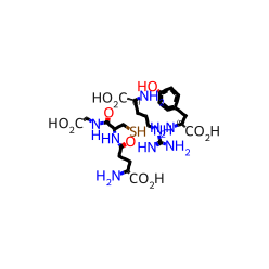 N=C(N)NCCC[C@H](N)C(=O)O.NC(CCC(=O)NC(CS)C(=O)NCC(=O)O)C(=O)O.N[C@@H](Cc1ccc(O)cc1)C(=O)O